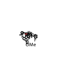 C=Cc1cccc(CCNc2nc(-c3cc(OCOC)cc4ccc(F)c(C#C[Si](C(C)C)(C(C)C)C(C)C)c34)c(F)c3nc(OC[C@@]45CCCN4C[C@H](F)C5)ncc23)c1